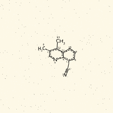 Cc1cnc2c(C#N)cccc2c1C